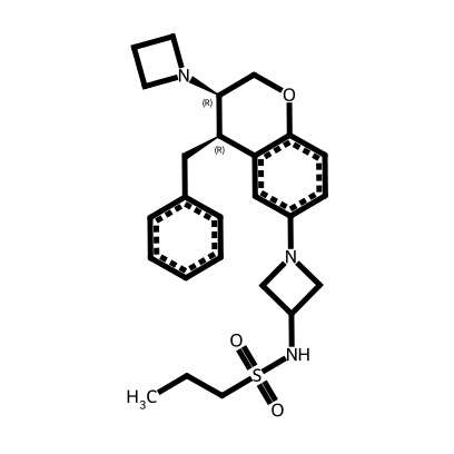 CCCS(=O)(=O)NC1CN(c2ccc3c(c2)[C@@H](Cc2ccccc2)[C@@H](N2CCC2)CO3)C1